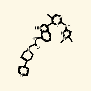 Cc1cnc(Nc2cc(C)n(C)n2)nc1-c1c[nH]c2c(NC(=O)CN3CC=C(c4ccncc4)CC3)cccc12